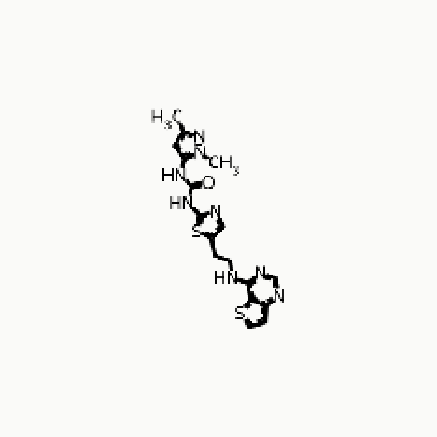 Cc1cc(NC(=O)Nc2ncc(CCNc3ncnc4ccsc34)s2)n(C)n1